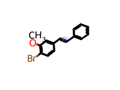 COc1cc(/C=C/c2ccccc2)ccc1Br